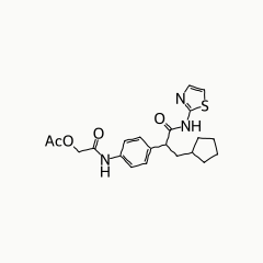 CC(=O)OCC(=O)Nc1ccc(C(CC2CCCC2)C(=O)Nc2nccs2)cc1